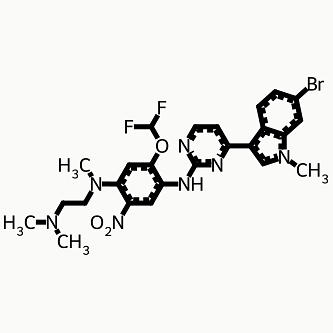 CN(C)CCN(C)c1cc(OC(F)F)c(Nc2nccc(-c3cn(C)c4cc(Br)ccc34)n2)cc1[N+](=O)[O-]